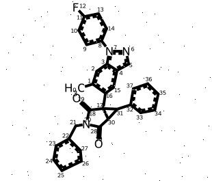 Cc1cc2c(cnn2-c2ccc(F)cc2)cc1C12C(=O)N(Cc3ccccc3)C(=O)C1C2c1ccccc1